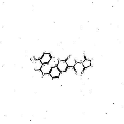 CC(Oc1ccc2cc(C(=O)ON3C(=O)CCC3=O)c(=O)oc2c1)c1ccccc1[N+](=O)[O-]